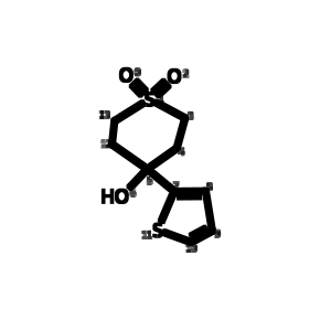 O=S1(=O)CCC(O)(c2cccs2)CC1